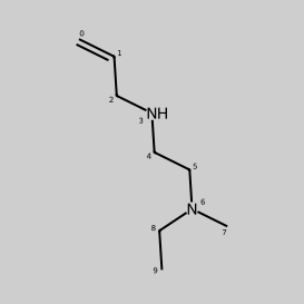 C=CCNCCN(C)CC